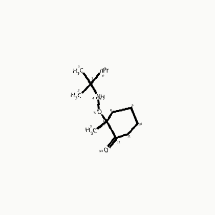 CCCC(C)(C)NOC1(C)CCCCC1=O